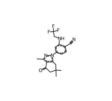 Cc1nn(-c2ccc(C#N)c(NCC(F)(F)F)c2)c2c1C(=O)CC(C)(C)C2